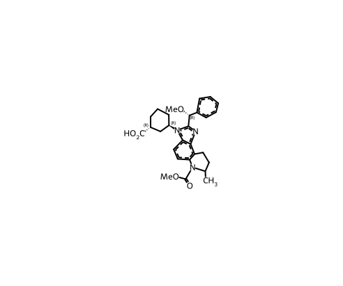 COC(=O)N1c2ccc3c(nc([C@H](OC)c4ccccc4)n3[C@@H]3CCC[C@@H](C(=O)O)C3)c2CCC1C